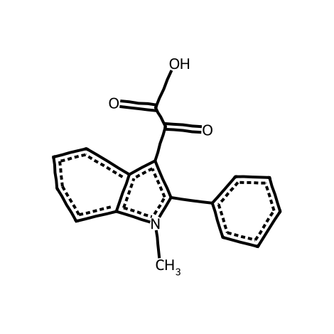 Cn1c(-c2ccccc2)c(C(=O)C(=O)O)c2ccccc21